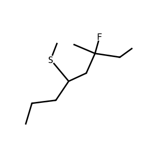 CCCC(CC(C)(F)CC)SC